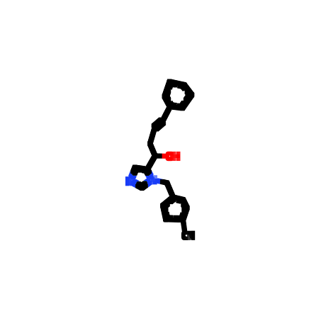 N#Cc1ccc(Cn2cncc2C(O)CC#Cc2ccccc2)cc1